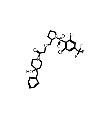 O=C(COCC1CCCN1S(=O)(=O)c1c(Cl)cc(C(F)(F)F)cc1Cl)N1CCC(O)(Cc2ccccc2)CC1